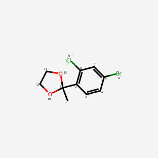 CC1(c2ccc(Br)cc2Cl)OCCO1